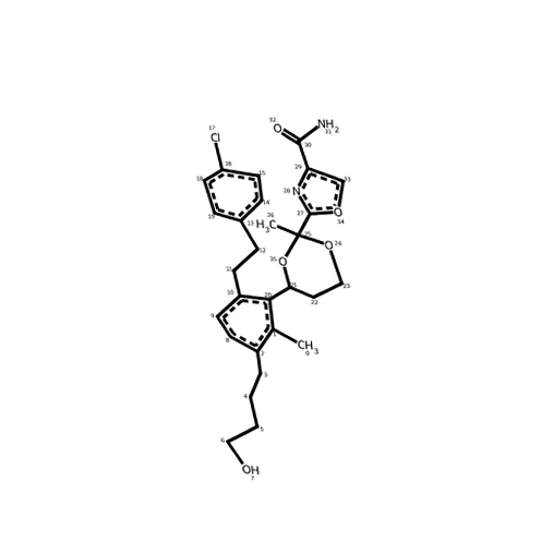 Cc1c(CCCCO)ccc(CCc2ccc(Cl)cc2)c1C1CCOC(C)(c2nc(C(N)=O)co2)O1